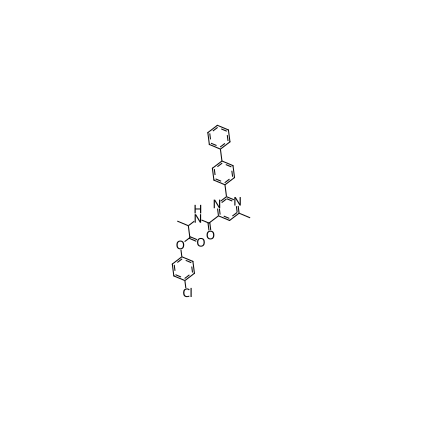 Cc1cc(C(=O)NC(C)C(=O)Oc2ccc(Cl)cc2)nc(-c2ccc(-c3ccccc3)cc2)n1